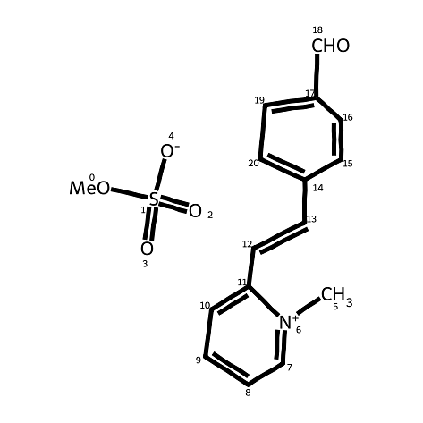 COS(=O)(=O)[O-].C[n+]1ccccc1C=Cc1ccc(C=O)cc1